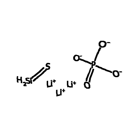 O=P([O-])([O-])[O-].[Li+].[Li+].[Li+].[SiH2]=S